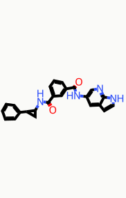 O=C(Nc1cnc2[nH]ccc2c1)c1cccc(C(=O)NC2CC2c2ccccc2)c1